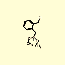 CO[SiH](Cc1ccccc1CCl)OC